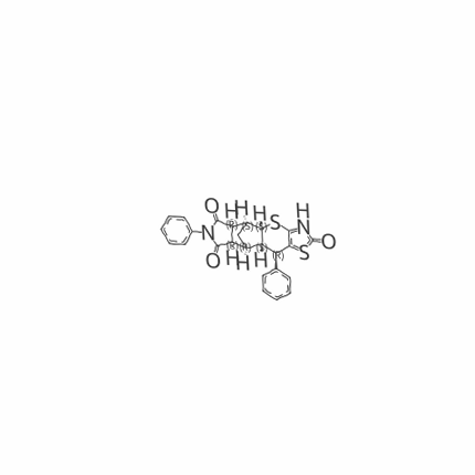 O=C1[C@@H]2[C@H]3C[C@H]([C@@H]4Sc5[nH]c(=O)sc5[C@@H](c5ccccc5)[C@H]34)[C@@H]2C(=O)N1c1ccccc1